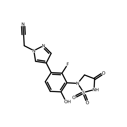 N#CCn1cc(-c2ccc(O)c(N3CC(=O)NS3(=O)=O)c2F)cn1